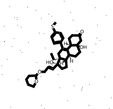 CC[C@]12CC(c3ccc(SC)cc3)=C3[C@@H](CC[C@@]4(O)CC(=O)CC[C@H]34)[C@@H]1CC[C@@]2(O)C=CCOC1CCCCO1